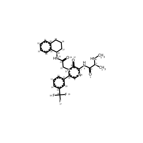 CN[C@@H](C)C(=O)Nc1ncc(-c2cccc(C(F)(F)F)c2)n(CC(=O)N[C@@H]2CCCc3ccccc32)c1=O